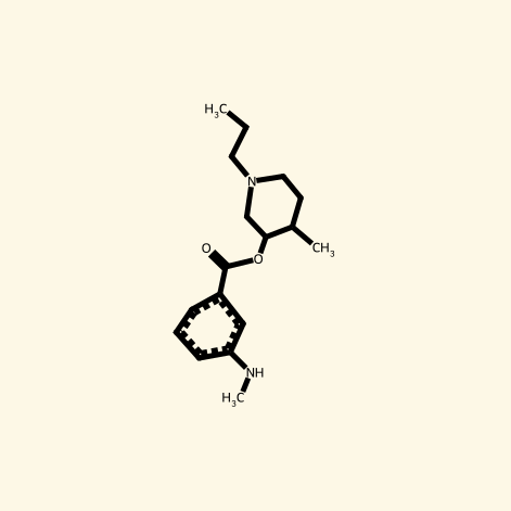 CCCN1CCC(C)C(OC(=O)c2cccc(NC)c2)C1